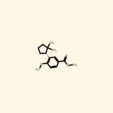 COC(=O)c1ccc(OC)c([C@@H]2CCCC2(C)C)c1